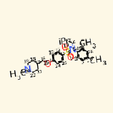 Cc1ccc(N(CC(C)C)S(=O)(=O)c2ccc(OCC3CCN(C)CC3)cc2)c(C)c1